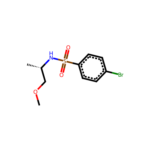 COC[C@H](C)NS(=O)(=O)c1ccc(Br)cc1